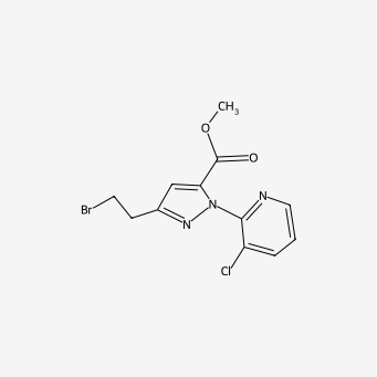 COC(=O)c1cc(CCBr)nn1-c1ncccc1Cl